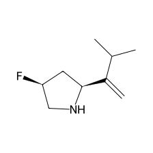 C=C(C(C)C)[C@@H]1C[C@H](F)CN1